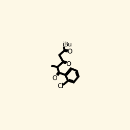 CCC(C)C(=O)CC(=O)C(C)C(=O)c1ccccc1Cl